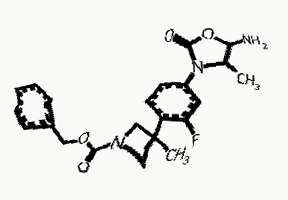 CC1C(N)OC(=O)N1c1ccc(C2(C)CN(C(=O)OCc3ccccc3)C2)c(F)c1